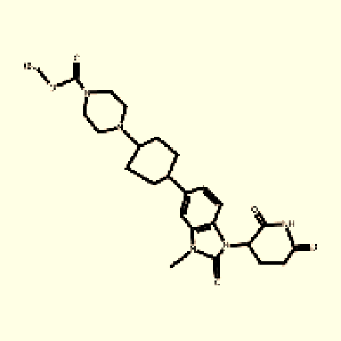 Cn1c(=O)n(C2CCC(=O)NC2=O)c2ccc(C3CCC(N4CCN(C(=O)OC(C)(C)C)CC4)CC3)cc21